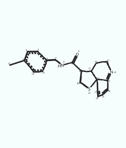 Cc1ccc(CNC(=O)C2CSC34C=CC=CC3=NCCC24)cc1